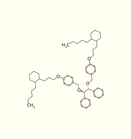 CCCCCC1CCCCC1CCCOc1ccc(CO[C@H](c2ccccc2)[C@H](OCc2ccc(OCCCC3CCCCC3CCCCC)cc2)c2ccccc2)cc1